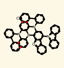 Clc1ccc2c(c1)N(c1ccccc1-c1ccccc1)c1cc(Cl)cc3c1B2c1c(cc(-n2c4ccccc4c4ccccc42)c2c1oc1ccccc12)N3c1ccccc1-c1ccccc1